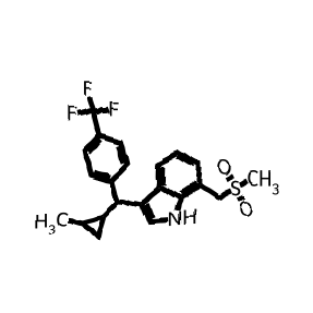 CC1CC1C(c1ccc(C(F)(F)F)cc1)c1c[nH]c2c(CS(C)(=O)=O)cccc12